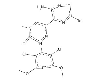 COc1cc(OC)c(Cl)c(-n2nc(-c3nc(Br)cnc3N)cc(C)c2=O)c1Cl